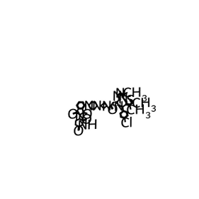 Cc1sc2c(c1C)C(c1ccc(Cl)cc1)=N[C@@H](CC(=O)N1CC(N3CCN(c4cccc5c4C(=O)N(C4CCC(=O)NC4=O)C5=O)CC3)C1)c1nnc(C)n1-2